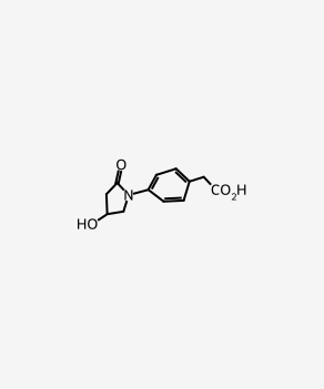 O=C(O)Cc1ccc(N2CC(O)CC2=O)cc1